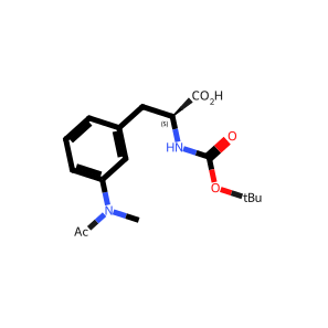 CC(=O)N(C)c1cccc(C[C@H](NC(=O)OC(C)(C)C)C(=O)O)c1